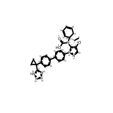 CC[C@]1(N(C(=O)O)c2c(Cl)cnn2-c2ccc(-c3ccc(C4(c5nnn[nH]5)CC4)cc3)cc2)C=CC=CC1